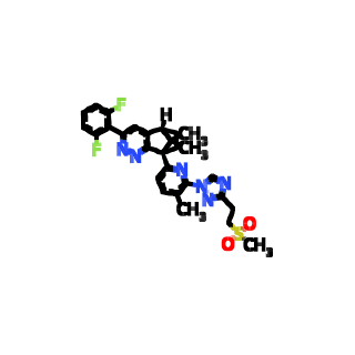 Cc1ccc([C@@]23CC[C@@H](c4cc(-c5c(F)cccc5F)nnc42)C3(C)C)nc1-n1cnc(CCS(C)(=O)=O)n1